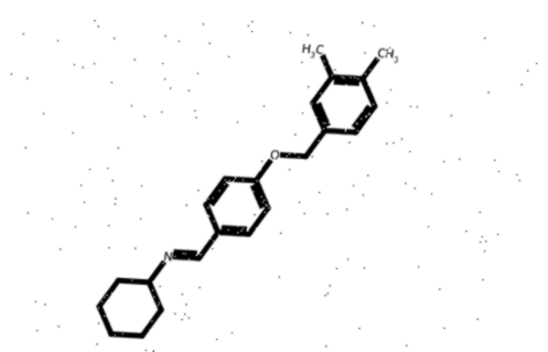 Cc1ccc(COc2ccc(C=NC3CCCCC3)cc2)cc1C